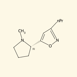 CCCc1cc([C@@H]2CCCN2C)on1